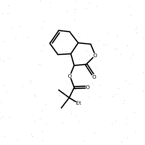 CCC(C)(C)C(=O)OC1C(=O)OCC2CC=CCC21